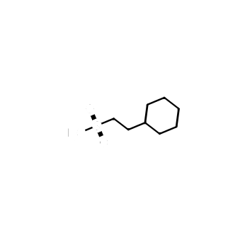 CS(=O)(=O)CCC1CC[CH]CC1